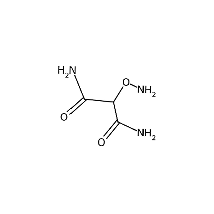 NOC(C(N)=O)C(N)=O